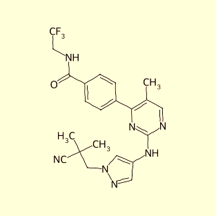 Cc1cnc(Nc2cnn(CC(C)(C)C#N)c2)nc1-c1ccc(C(=O)NCC(F)(F)F)cc1